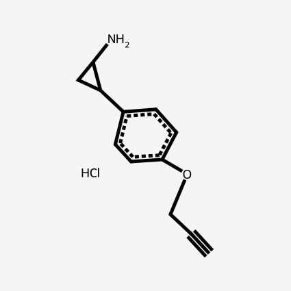 C#CCOc1ccc(C2CC2N)cc1.Cl